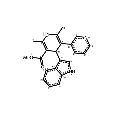 COC(=O)C1=C(C)NC(C)=C(c2cccnc2)C1c1c[nH]c2ccccc12